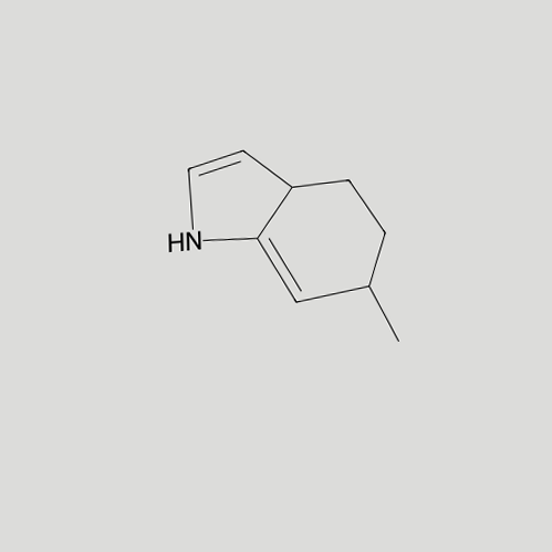 CC1C=C2NC=CC2CC1